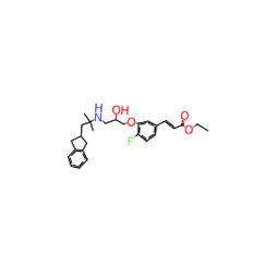 CCOC(=O)C=Cc1ccc(F)c(OC[C@H](O)CNC(C)(C)CC2Cc3ccccc3C2)c1